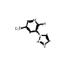 O=[N+]([O-])c1cnc(Cl)c(-n2ccnn2)c1